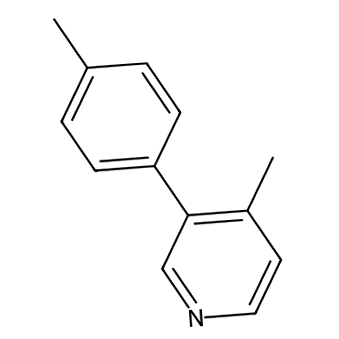 Cc1ccc(-c2cnccc2C)cc1